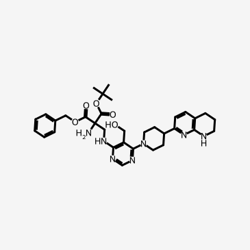 CC(C)(C)OC(=O)C(N)(CNc1ncnc(N2CCC(c3ccc4c(n3)NCCC4)CC2)c1CO)C(=O)OCc1ccccc1